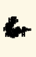 C#CCCC(=O)NCCCC[C@H](NC(=O)C=C)C(=O)Nc1cccc(Nc2ncc(NC(=O)c3cc(NC(=O)c4cccc(C(F)(F)F)c4)ccc3C)cn2)c1